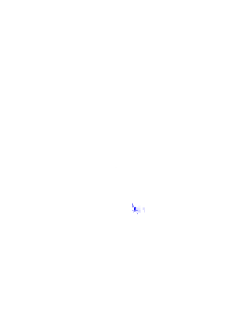 CCCCCCCCCCCCCCCCCCCCCCCCCCCCCCCCCCCCCCCCCCCCCCCCCNNNN